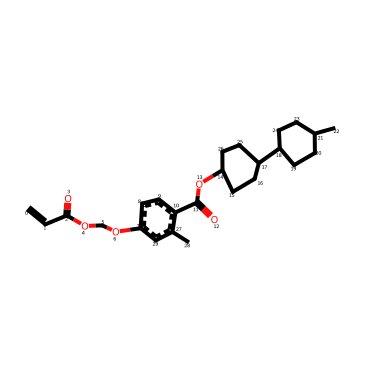 C=CC(=O)OCOc1ccc(C(=O)OC2CCC(C3CCC(C)CC3)CC2)c(C)c1